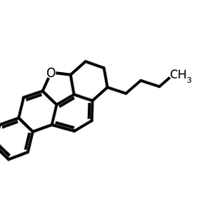 CCCCC1CCC2Oc3cc4ccccc4c4ccc1c2c34